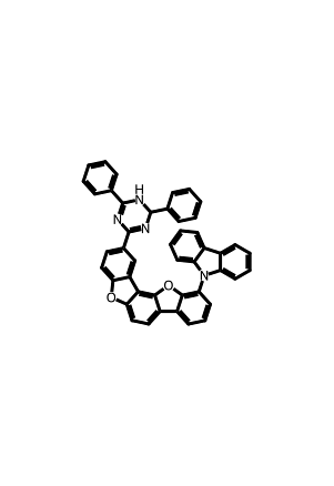 c1ccc(C2=NC(c3ccc4oc5ccc6c7cccc(-n8c9ccccc9c9ccccc98)c7oc6c5c4c3)=NC(c3ccccc3)N2)cc1